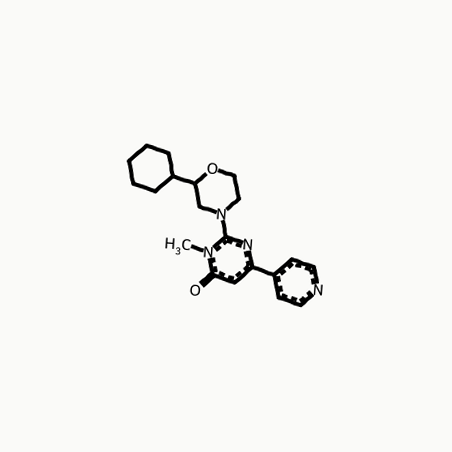 Cn1c(N2CCOC(C3CCCCC3)C2)nc(-c2ccncc2)cc1=O